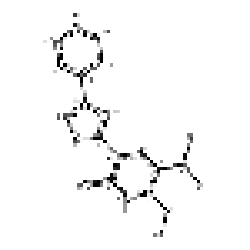 CCc1[nH]c(=O)c(-c2csc(-c3ccncc3)n2)cc1C(C)C